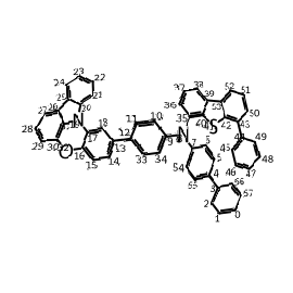 c1ccc(-c2ccc(N(c3ccc(-c4ccc5c(c4)-n4c6ccccc6c6cccc(c64)O5)cc3)c3cccc4c3sc3c(-c5ccccc5)cccc34)cc2)cc1